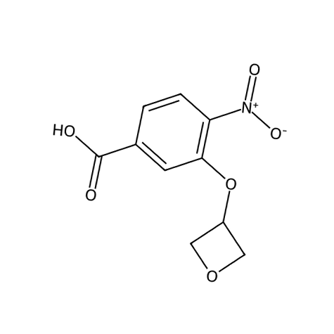 O=C(O)c1ccc([N+](=O)[O-])c(OC2COC2)c1